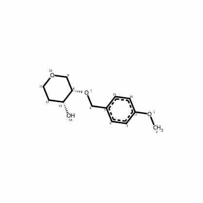 COc1ccc(CO[C@H]2COCC[C@H]2O)cc1